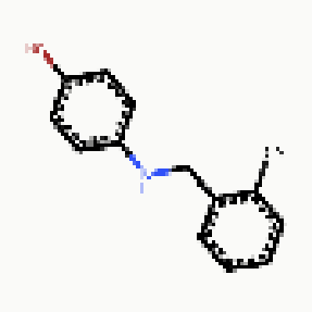 N#Cc1ccccc1CNc1ccc(Br)cc1